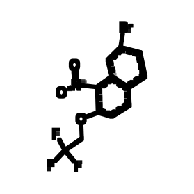 O=[N+]([O-])c1c(OCC(F)(F)F)ccc2ccc(Br)cc12